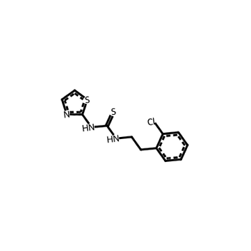 S=C(NCCc1ccccc1Cl)Nc1nccs1